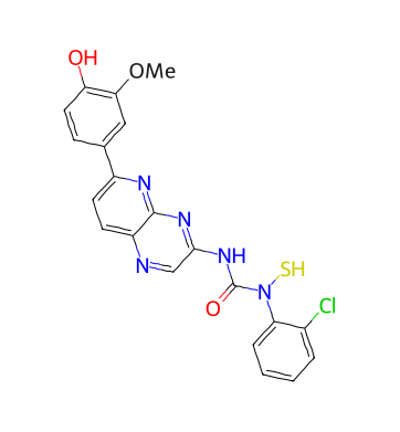 COc1cc(-c2ccc3ncc(NC(=O)N(S)c4ccccc4Cl)nc3n2)ccc1O